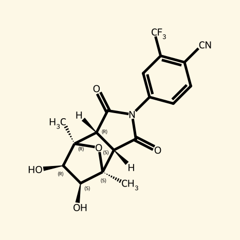 C[C@]12O[C@](C)([C@@H](O)[C@H]1O)[C@H]1C(=O)N(c3ccc(C#N)c(C(F)(F)F)c3)C(=O)[C@H]12